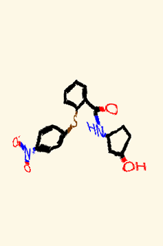 O=C(NC1CCC(O)C1)c1ccccc1Sc1ccc([N+](=O)[O-])cc1